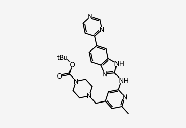 Cc1cc(CN2CCN(C(=O)OC(C)(C)C)CC2)cc(Nc2nc3ccc(-c4ccncn4)cc3[nH]2)n1